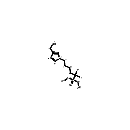 CC(C)OP(=O)(OC(C)C)C(F)(F)CCCCn1cc(CO)nn1